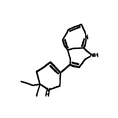 CC1(C)CC=C(c2c[nH]c3ncccc23)CN1